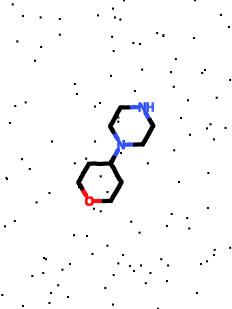 C1CN([C]2CCOCC2)CCN1